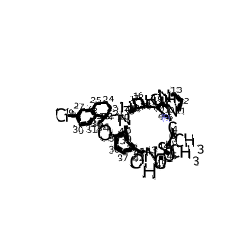 C[C@@H]1[C@@H](C)C/C=C/[C@@](O)(c2ncccn2)[C@@H]2CC[C@H]2CN2C[C@@]3(CCCc4cc(Cl)ccc43)COc3ccc(cc32)C(=O)NS1(=O)=O